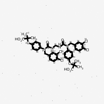 CC(C)(Oc1ccc(N(Cc2ccc(Cl)c(Cl)c2)C(=O)NCNC(=O)N(Cc2ccc(Cl)c(Cl)c2)c2ccc(OC(C)(C)C(=O)O)cc2)cc1)C(=O)O